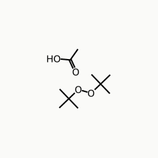 CC(=O)O.CC(C)(C)OOC(C)(C)C